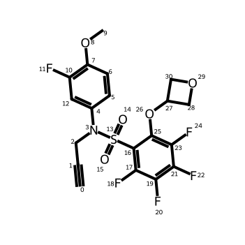 C#CCN(c1ccc(OC)c(F)c1)S(=O)(=O)c1c(F)c(F)c(F)c(F)c1OC1COC1